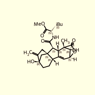 C=C1C[C@]23C[C@]1(O)CC[C@H]2C1=C[C@@H]2OC(=O)[C@@](C)([C@H]1[C@@H]3C(=O)N[C@H](C(=O)OC)[C@@H](C)CC)[C@H]2O